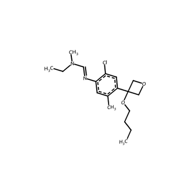 CCCCOC1(c2cc(Cl)c(N=CN(C)CC)cc2C)COC1